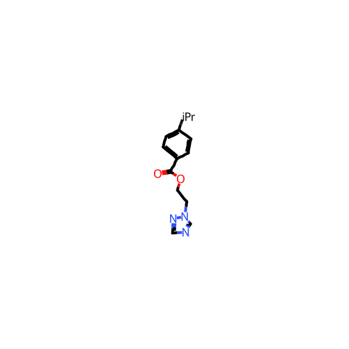 CC(C)c1ccc(C(=O)OCCn2cncn2)cc1